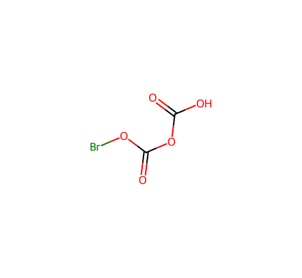 O=C(O)OC(=O)OBr